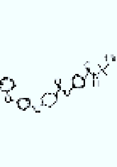 CC(C)(C)CC(C)(C)NC(=O)c1ccc(OC(=O)N2CCC(Oc3ccc(Oc4ccccn4)cc3)CC2)cc1